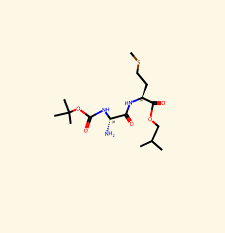 CSCC[C@H](NC(=O)[C@H](N)NC(=O)OC(C)(C)C)C(=O)OCC(C)C